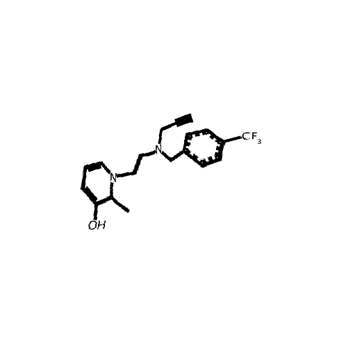 C#CCN(CCN1C=CC=C(O)C1C)Cc1ccc(C(F)(F)F)cc1